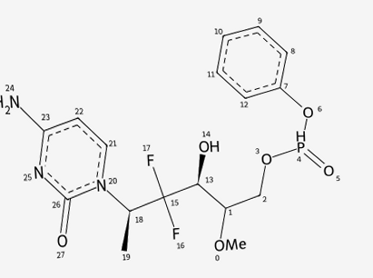 COC(CO[PH](=O)Oc1ccccc1)[C@H](O)C(F)(F)[C@@H](C)n1ccc(N)nc1=O